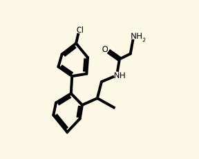 CC(CNC(=O)CN)c1ccccc1-c1ccc(Cl)cc1